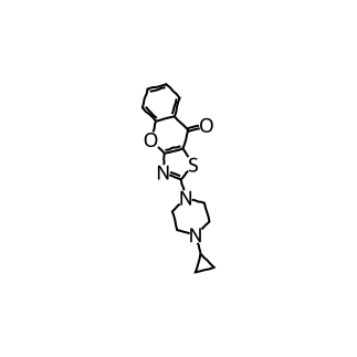 O=c1c2ccccc2oc2nc(N3CCN(C4CC4)CC3)sc12